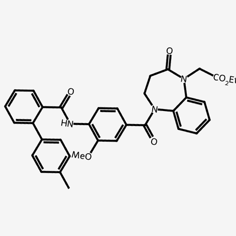 CCOC(=O)CN1C(=O)CCN(C(=O)c2ccc(NC(=O)c3ccccc3-c3ccc(C)cc3)c(OC)c2)c2ccccc21